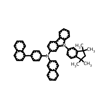 CC1(C)CC(C)(C)c2cc(-n3c4ccccc4c4ccc(N(c5ccc(-c6cccc7ccccc67)cc5)c5ccc6ccccc6c5)cc43)ccc21